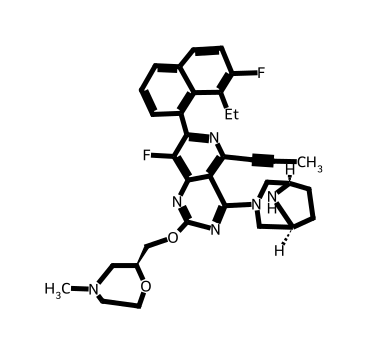 CC#Cc1nc(-c2cccc3ccc(F)c(CC)c23)c(F)c2nc(OC[C@@H]3CN(C)CCO3)nc(N3C[C@H]4CC[C@@H](C3)N4)c12